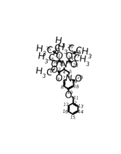 COC(=O)C(Cn1ccc(OCc2ccccc2)cc1=O)N(C(=O)OC(C)(C)C)C(=O)OC(C)(C)C